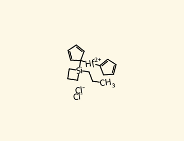 CCC[Si]1([C]2([Hf+2][C]3=CC=CC3)C=CC=C2)CCC1.[Cl-].[Cl-]